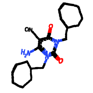 Nc1c(N=O)c(=O)n(CC2CCCCCC2)c(=O)n1CC1CCCCCC1